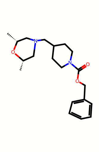 C[C@@H]1CN(CC2CCN(C(=O)OCc3ccccc3)CC2)C[C@H](C)O1